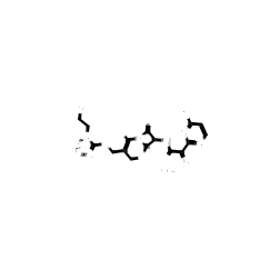 CO/N=C(\C(=O)NC1C(=O)N2C(C(=O)O)=C(CSc3nnnn3CCN)CS[C@H]12)c1nccc(N)n1